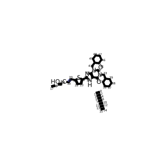 C=C.C=C.C=C.C=C.C=C.C=C.C=C.C=C.C=C.O=C(O)/C=C/c1ccc(-c2nc3c([nH]2)c(=O)n(CC2CCCCC2)c(=O)n3CC2CCCCC2)s1